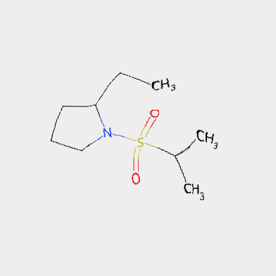 CCC1CCCN1S(=O)(=O)C(C)C